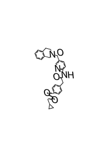 O=C(Cc1ccc(S(=O)(=O)CC2CC2)cc1)Nc1ccc(C(=O)N2CCc3ccccc3C2)cn1